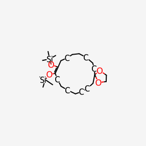 C[Si](C)(C)OC1=C(O[Si](C)(C)C)CCCCCCCC2(CCCCCCC1)OCCO2